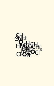 CC(=O)Nc1ccc(NC(=O)O[C@@H]2N[C@H](CC(C)(C)C)[C@@](C#N)(c3ccc(Cl)cc3F)[C@@H]2c2cccc(Cl)c2F)cc1